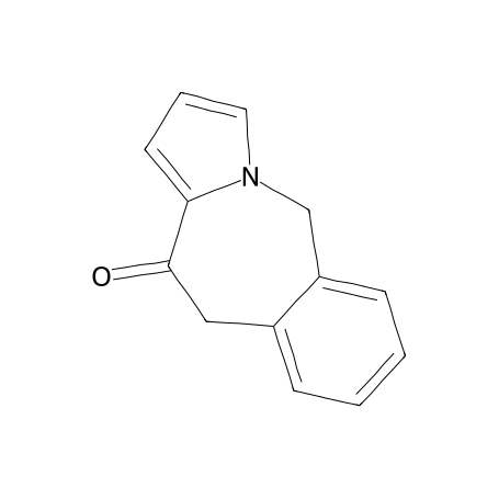 O=C1Cc2ccccc2Cn2cccc21